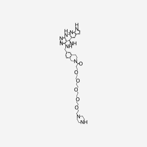 N=C(c1cnc2[nH]ccc2c1)c1c(N)ncnc1NCc1ccc2c(c1)CCN(C(=O)CCOCCOCCOCCOCCOCCN1CCNCC1)C2